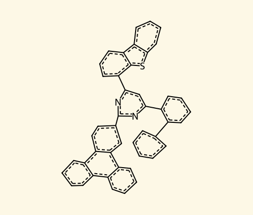 c1ccc(-c2ccccc2-c2cc(-c3cccc4c3sc3ccccc34)nc(-c3ccc4c5ccccc5c5ccccc5c4c3)n2)cc1